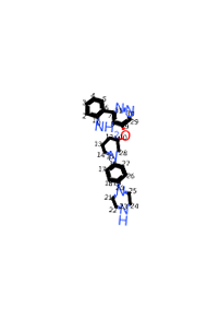 Nc1ccccc1-c1cc(OC2CCCN(c3ccc(N4CCNCC4)cc3)C2)cnn1